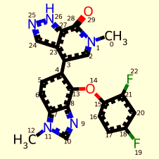 Cn1cc(-c2ccc3c(ncn3C)c2Oc2ccc(F)cc2F)c2cn[nH]c2c1=O